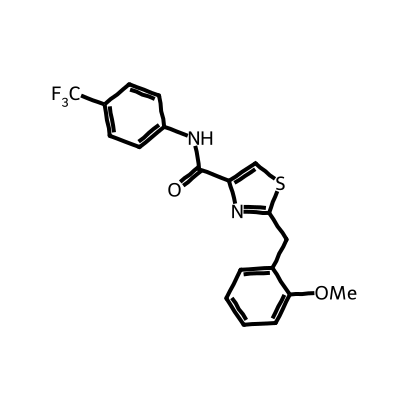 COc1ccccc1Cc1nc(C(=O)Nc2ccc(C(F)(F)F)cc2)cs1